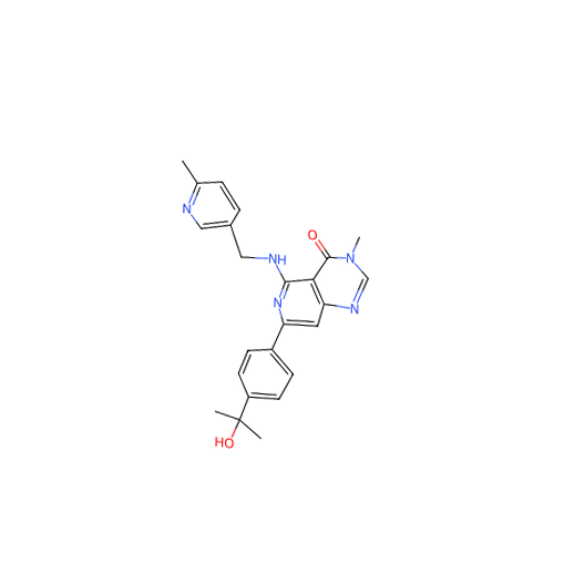 Cc1ccc(CNc2nc(-c3ccc(C(C)(C)O)cc3)cc3ncn(C)c(=O)c23)cn1